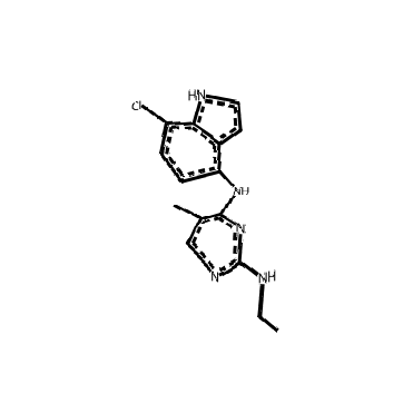 CCNc1ncc(C)c(Nc2ccc(Cl)c3[nH]ccc23)n1